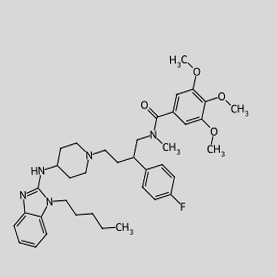 CCCCCn1c(NC2CCN(CCC(CN(C)C(=O)c3cc(OC)c(OC)c(OC)c3)c3ccc(F)cc3)CC2)nc2ccccc21